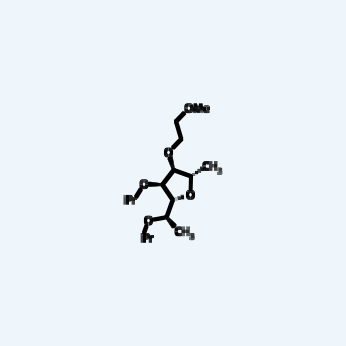 COCCO[C@@H]1[C@H](OC(C)C)[C@@H]([C@@H](C)OC(C)C)O[C@H]1C